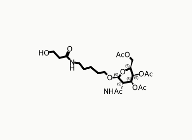 CC(=O)N[C@@H]1[C@@H](OCCCCCNC(=O)CCO)O[C@@H](COC(C)=O)[C@@H](OC(C)=O)[C@H]1OC(C)=O